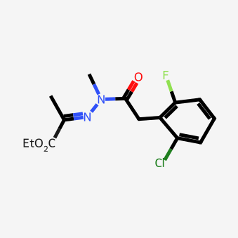 CCOC(=O)C(C)=NN(C)C(=O)Cc1c(F)cccc1Cl